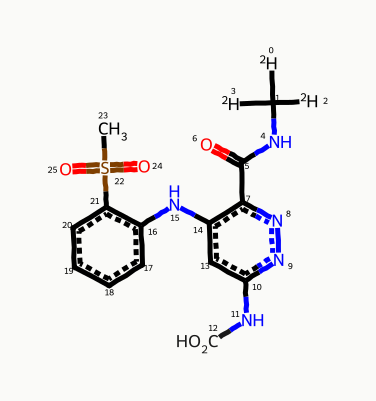 [2H]C([2H])([2H])NC(=O)c1nnc(NC(=O)O)cc1Nc1ccccc1S(C)(=O)=O